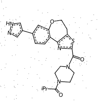 CC(C)C(=O)N1CCN(C(=O)c2nc3c(s2)CCOc2cc(-c4cn[nH]c4)ccc2-3)CC1